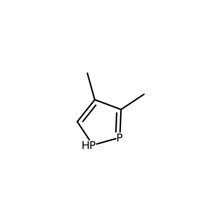 Cc1c[pH]pc1C